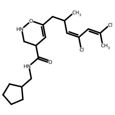 C/C(Cl)=C\C(Cl)=C/C(C)CC1=CC(C(=O)NCC2CCCC2)CNO1